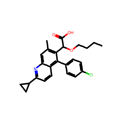 CCCCOC(C(=O)O)c1c(C)cc2nc(C3CC3)ccc2c1-c1ccc(Cl)cc1